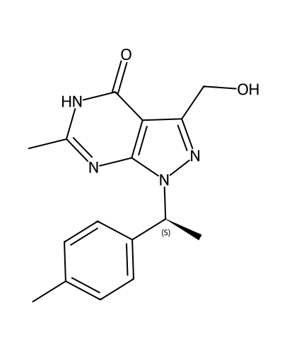 Cc1ccc([C@H](C)n2nc(CO)c3c(=O)[nH]c(C)nc32)cc1